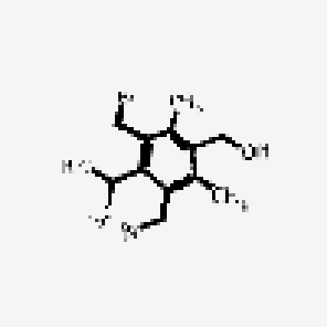 Cc1c(CO)c(C)c(CBr)c(C(C)C)c1CBr